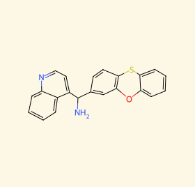 NC(c1ccc2c(c1)Oc1ccccc1S2)c1ccnc2ccccc12